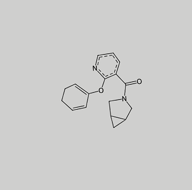 O=C(c1cccnc1OC1=CCCC=C1)N1CC2CC2C1